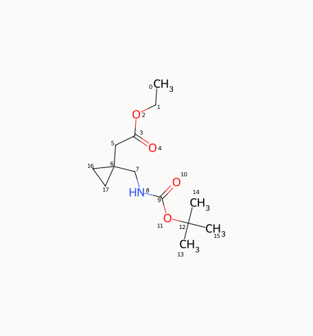 CCOC(=O)CC1(CNC(=O)OC(C)(C)C)CC1